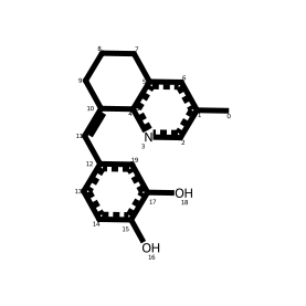 Cc1cnc2c(c1)CCC/C2=C/c1ccc(O)c(O)c1